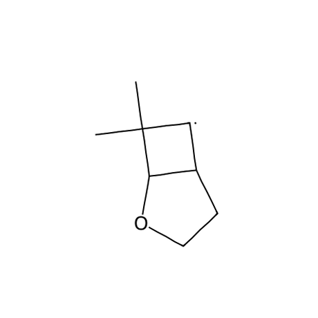 CC1(C)[CH]C2CCOC21